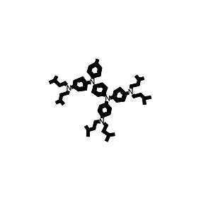 Cc1ccc(N(c2ccc(N(CCC(C)C)CCC(C)C)cc2)c2ccc(N(c3ccc(N(CCC(C)C)CCC(C)C)cc3)c3ccc(N(CCC(C)C)CCC(C)C)cc3)cc2)cc1